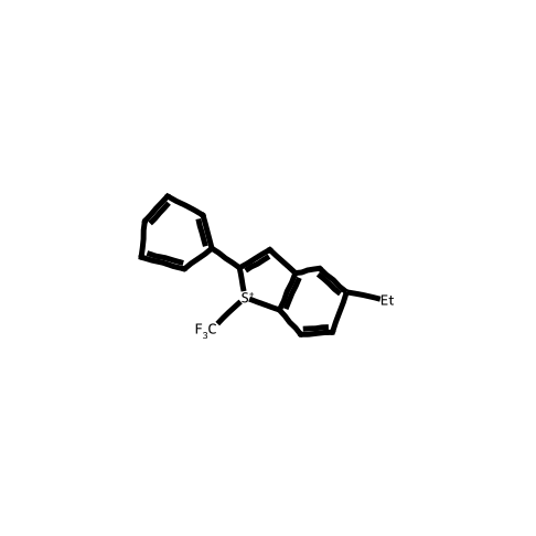 CCc1ccc2c(c1)cc(-c1ccccc1)[s+]2C(F)(F)F